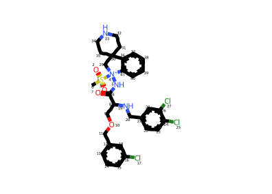 CS(=O)(=O)[N+]1(NC(=O)C(COCc2cccc(Cl)c2)NCc2ccc(Cl)c(Cl)c2)CC2(CCNCC2)c2ccccc21